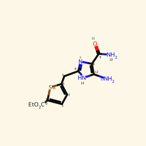 CCOC(=O)c1ccc(Cc2nc(C(N)=O)c(N)[nH]2)s1